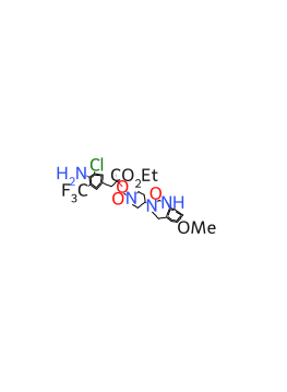 CCOC(=O)[C@@H](Cc1cc(Cl)c(N)c(C(F)(F)F)c1)OC(=O)N1CCC(N2CCc3cc(OC)ccc3NC2=O)CC1